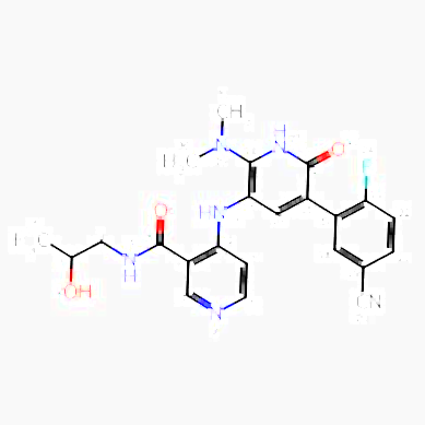 CC(O)CNC(=O)c1cnccc1Nc1cc(-c2cc(C#N)ccc2F)c(=O)[nH]c1N(C)C